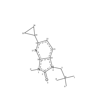 Cn1c(=O)n(CC(C)(C)C)c2ccc(C3CC3)nc21